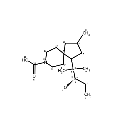 CC[S@@+]([O-])[N+](C)(C)C1CC(C)CC12CCN(C(=O)O)CC2